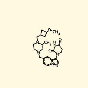 CO[C@H]1C[C@@H](CN2CCN(Cc3ccn4ncc(N5CCC(=O)NC5=O)c4c3)C[C@@H]2C)C1